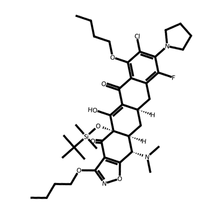 CCCCOc1noc2c1C(=O)[C@@]1(O[Si](C)(C)C(C)(C)C)C(O)=C3C(=O)c4c(c(F)c(N5CCCC5)c(Cl)c4OCCCC)C[C@H]3C[C@H]1[C@@H]2N(C)C